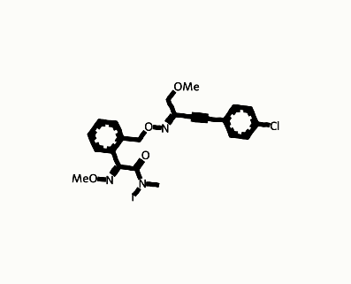 COC/C(C#Cc1ccc(Cl)cc1)=N\OCc1ccccc1/C(=N\OC)C(=O)N(C)I